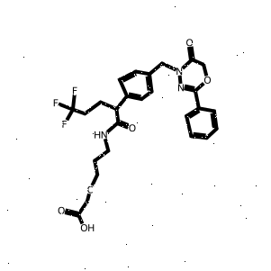 O=C(O)CCCCCNC(=O)C(CCC(F)(F)F)c1ccc(CN2N=C(c3ccccc3)OCC2=O)cc1